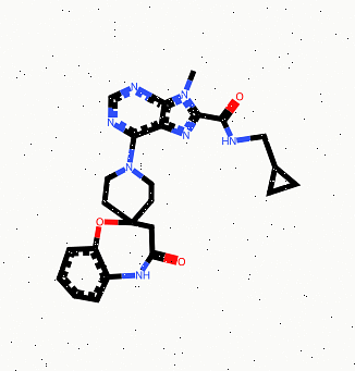 Cn1c(C(=O)NCC2CC2)nc2c(N3CCC4(CC3)CC(=O)Nc3ccccc3O4)ncnc21